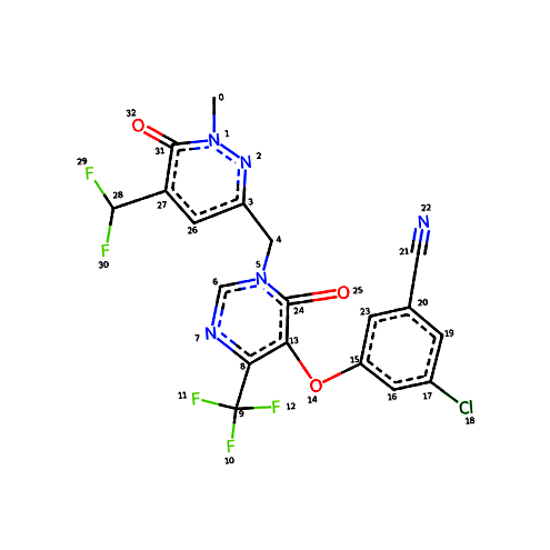 Cn1nc(Cn2cnc(C(F)(F)F)c(Oc3cc(Cl)cc(C#N)c3)c2=O)cc(C(F)F)c1=O